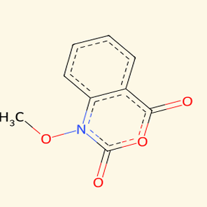 COn1c(=O)oc(=O)c2ccccc21